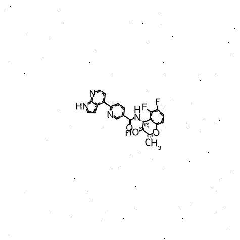 C[C@H]1Oc2ccc(F)c(F)c2[C@@H](NC(=O)c2ccc(-c3ccnc4[nH]ccc34)nc2)[C@@H]1O